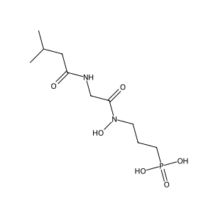 CC(C)CC(=O)NCC(=O)N(O)CCCP(=O)(O)O